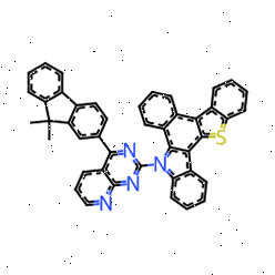 CC1(C)c2ccccc2-c2ccc(-c3nc(-n4c5ccccc5c5c6sc7ccccc7c6c6ccccc6c54)nc4ncccc34)cc21